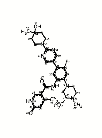 C[C@@H]1CN(c2cc(F)c(-c3cnc(N4CCC(C)(O)CC4)nc3)cc2NC(=O)c2c[nH]c(=O)cc2C(F)(F)F)CCN1C